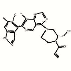 C=CC(=O)N1CCN(c2ncnc3c(F)c(-c4c(Cl)c(C)cc5[nH]ncc45)ncc23)C[C@@H]1CC#N